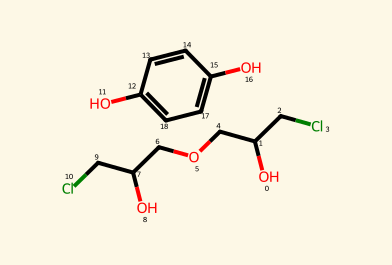 OC(CCl)COCC(O)CCl.Oc1ccc(O)cc1